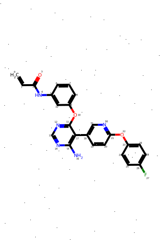 C=CC(=O)Nc1cccc(Oc2ncnc(N)c2-c2ccc(Oc3ccc(F)cc3)nc2)c1